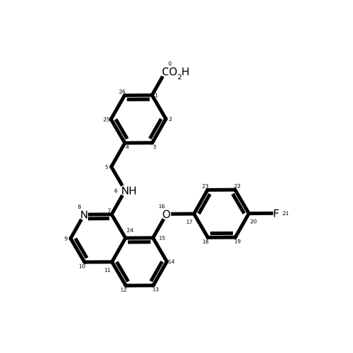 O=C(O)c1ccc(CNc2nccc3cccc(Oc4ccc(F)cc4)c23)cc1